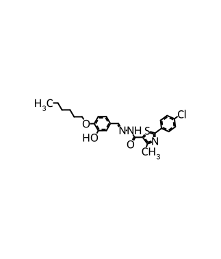 CCCCCCOc1ccc(/C=N/NC(=O)c2sc(-c3ccc(Cl)cc3)nc2C)cc1O